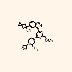 COCc1nc(N2CCN(C3COC3)C(C)C2)cc(-n2ncc3ccc(C4(C#N)CC5(CC5)C4)cc32)n1